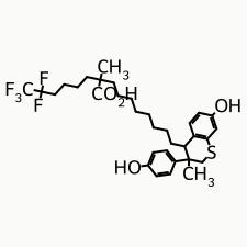 CC(CCCCCCCCC1c2ccc(O)cc2SCC1(C)c1ccc(O)cc1)(CCCCC(F)(F)C(F)(F)F)C(=O)O